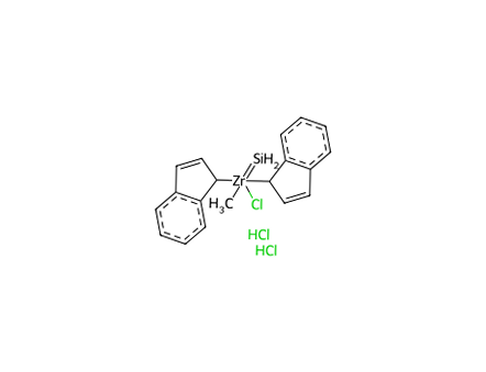 Cl.Cl.[CH3][Zr](=[SiH2])([Cl])([CH]1C=Cc2ccccc21)[CH]1C=Cc2ccccc21